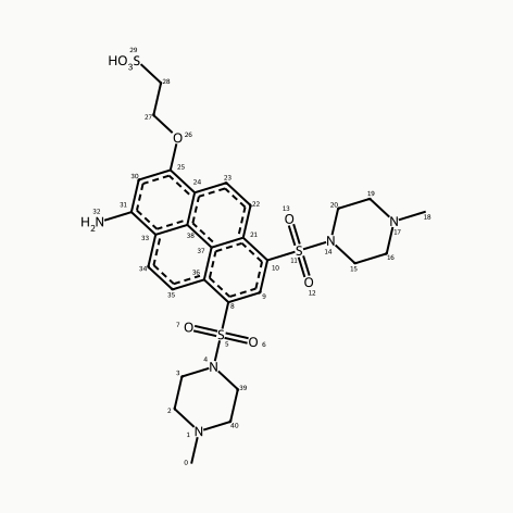 CN1CCN(S(=O)(=O)c2cc(S(=O)(=O)N3CCN(C)CC3)c3ccc4c(OCCS(=O)(=O)O)cc(N)c5ccc2c3c54)CC1